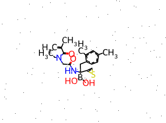 C=C(C)C(=O)N(CC)CC(=O)NC(Cc1ccc(C)cc1C)(B(O)O)C1=CS1